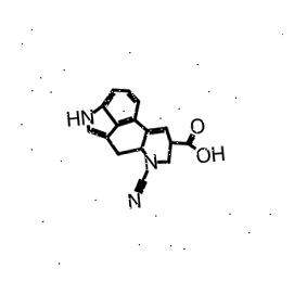 N#CN1CC(C(=O)O)C=C2c3cccc4[nH]cc(c34)CC21